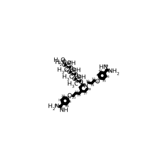 CS(=O)(=O)O.CS(=O)(=O)O.CS(=O)(=O)O.N=C(N)c1ccc(OCCCC2CCN(CCCOc3ccc(C(=N)N)cc3)CC2)cc1.O.O